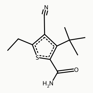 CCc1sc(C(N)=O)c(C(C)(C)C)c1C#N